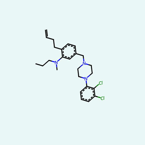 C=CCCc1ccc(CN2CCN(c3cccc(Cl)c3Cl)CC2)cc1N(C)CCC